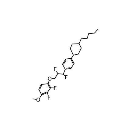 CCCCCC1CCC(c2ccc(C(F)C(F)COc3ccc(OC)c(F)c3F)cc2)CC1